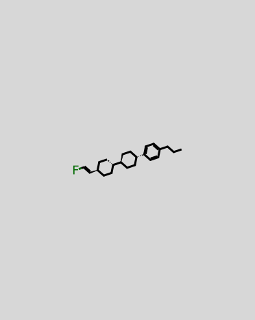 CCCc1ccc([C@H]2CC[C@H]([C@H]3CC[C@H](C=CF)CC3)CC2)cc1